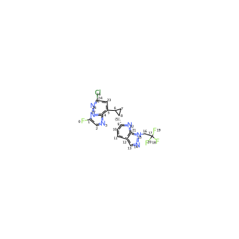 Fc1cnc2c(C3C[C@@H]3c3ccc4cnn(CC(F)(F)F)c4n3)cc(Cl)nn12